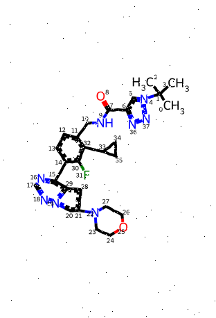 CC(C)(C)n1cc(C(=O)NCc2ccc(-c3ncnn4cc(N5CCOCC5)cc34)c(F)c2C2CC2)nn1